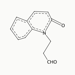 O=CCCn1c(=O)ccc2ccccc21